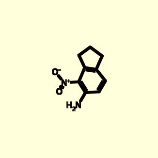 Nc1ccc2c(c1[N+](=O)[O-])CCC2